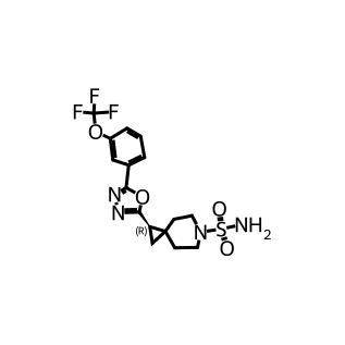 NS(=O)(=O)N1CCC2(CC1)C[C@H]2c1nnc(-c2cccc(OC(F)(F)F)c2)o1